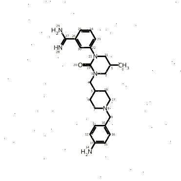 CC1CN(CC2CCN(Cc3ccc(N)cc3)CC2)C(=O)N(c2cccc(C(=N)N)c2)C1